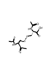 CC(=O)N[C@@H](CSSC[C@H](NC(C)=O)C(=O)O)C(C)=O